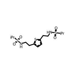 CC(C)S(=O)(=O)NCCc1ccc(CCNS(=O)(=O)C(C)C)s1